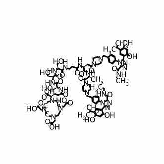 CCNC(=O)c1nnc(-c2cc(C(C)C)c(O)cc2O)n1-c1ccc(CN2CCN(C(=O)C[C@H](NC(=O)CCNC(=O)[C@H](CO)NC(=O)[C@H](CO)NC(=O)[C@H](CO)NC(=O)CC[C@H](C(=O)O)N3CCN(CC(=O)O)CCN(CC(=O)O)CCN(CC(=O)O)CC3)C(=O)N[C@H](C)C(=O)N3CCN(Cc4ccc(-n5c(C(=O)NCC)nnc5-c5cc(C(C)C)c(O)cc5O)cc4)CC3)CC2)cc1